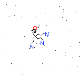 CCO[Si](C)(C)CC(CCCN(C)C)(CCCN(C)C)CCCN(C)C